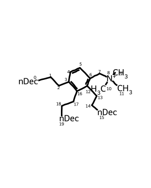 CCCCCCCCCCCCc1ccc(C[N+](C)(C)C)c(CCCCCCCCCCCC)c1CCCCCCCCCCCC